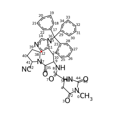 CN1C(=O)CC(C(=O)NC(Cc2cncn2C(c2ccccc2)(c2ccccc2)c2ccccc2)C(=O)N2CCCC2C#N)NC1=O